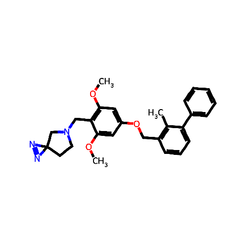 COc1cc(OCc2cccc(-c3ccccc3)c2C)cc(OC)c1CN1CCC2(C1)N=N2